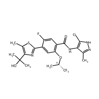 Cc1n[nH]c(Cl)c1NC(=O)c1cc(F)c(-c2nc(C(C)(C)O)c(C)s2)cc1O[C@@H](C)C(F)(F)F